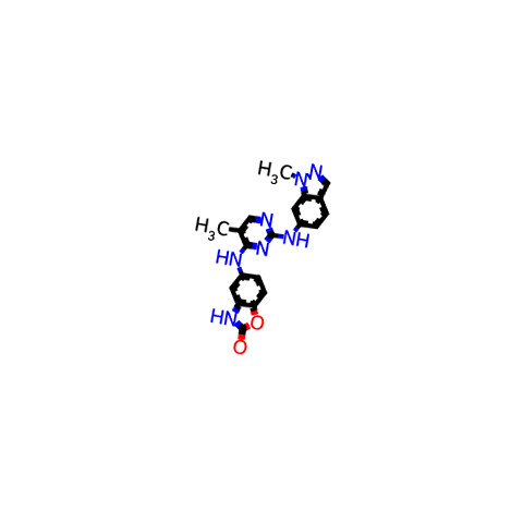 Cc1cnc(Nc2ccc3cnn(C)c3c2)nc1Nc1ccc2oc(=O)[nH]c2c1